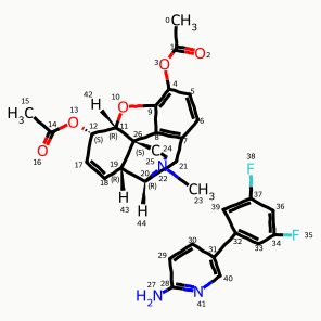 CC(=O)Oc1ccc2c3c1O[C@H]1[C@@H](OC(C)=O)C=C[C@H]4[C@@H](C2)N(C)CC[C@@]341.Nc1ccc(-c2cc(F)cc(F)c2)cn1